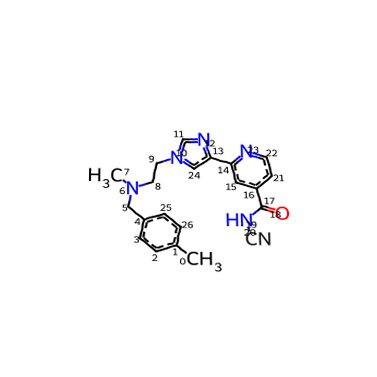 Cc1ccc(CN(C)CCn2cnc(-c3cc(C(=O)NC#N)ccn3)c2)cc1